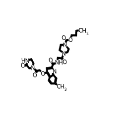 CCCCOC(=O)N1CCN(C(=O)CNC(=O)c2cc(OCC(=O)N3CCNC(=O)C3)c3ccc(C)cc3n2)CC1